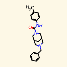 Cc1ccc(NC(=O)N2CC3CC(CN(Cc4ccccc4)C3)C2)cc1